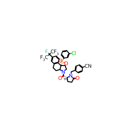 N#Cc1ccc(CN2C(=O)CC[C@@H]2C(=O)N2CCC3(S(=O)(=O)c4cccc(Cl)c4)c4ccc(C(F)(C(F)(F)F)C(F)(F)F)cc4CCC23)cc1